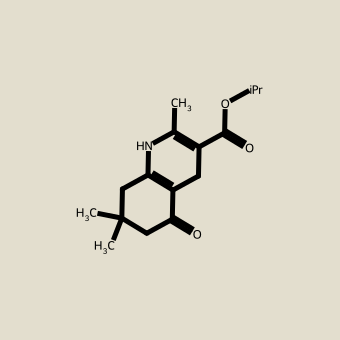 CC1=C(C(=O)OC(C)C)CC2=C(CC(C)(C)CC2=O)N1